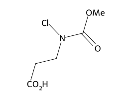 COC(=O)N(Cl)CCC(=O)O